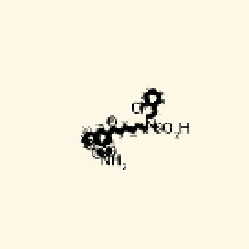 NS(=O)(=O)c1cc(C(=O)CCCCCN(CCc2ccccc2Cl)C(=O)O)cc2c1OCC2